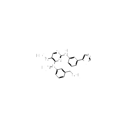 C=Nc1cnc(Nc2cccc(-c3cnco3)c2)nc1N(N)c1cccc(CN)c1